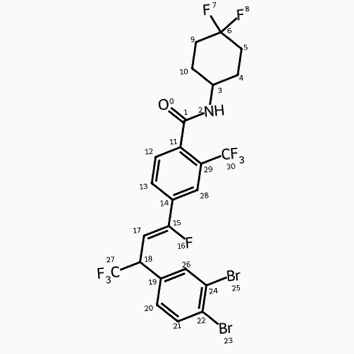 O=C(NC1CCC(F)(F)CC1)c1ccc(C(F)=CC(c2ccc(Br)c(Br)c2)C(F)(F)F)cc1C(F)(F)F